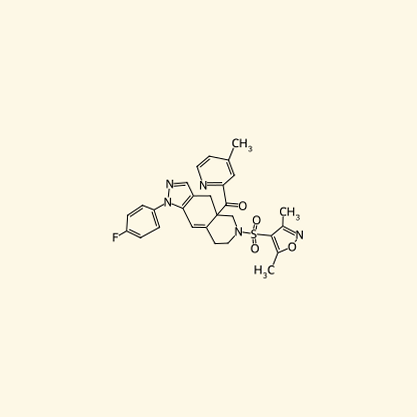 Cc1ccnc(C(=O)C23Cc4cnn(-c5ccc(F)cc5)c4C=C2CCN(S(=O)(=O)c2c(C)noc2C)C3)c1